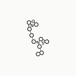 c1cc(-c2ccc(-c3ccc4c5cccc6c5n(c4c3)-c3ccccc3O6)cc2)cc(N(c2ccc(-c3cccc4ccccc34)cc2)c2cccc3c2sc2ccccc23)c1